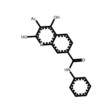 CC(=O)c1c(O)nc2cc(C(=O)Nc3ccccc3)ccc2c1O